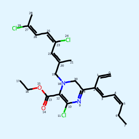 C=C/C(=C\C=C/CC)C1=NC(Cl)=C(C(=O)OCC)N(C/C(C)=C/C(Cl)=C\C=C(/C)Cl)C1